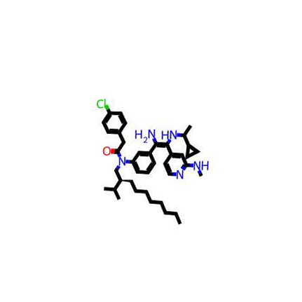 CCCCCCCC[C@H](CN(C(=O)Cc1ccc(Cl)cc1)c1cccc(/C(N)=C(/NC(C)C2CC2)c2ccnc(NC)c2)c1)C(C)C